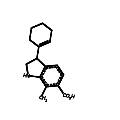 Cc1c(C(=O)O)ccc2c1NCC2C1=CCCCC1